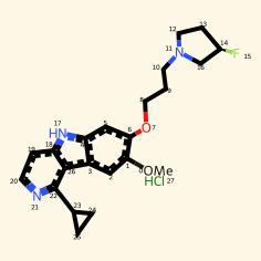 COc1cc2c(cc1OCCCN1CC[C@@H](F)C1)[nH]c1ccnc(C3CC3)c12.Cl